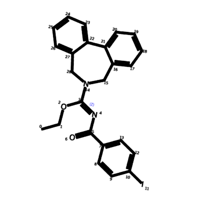 CCO/C(=N\C(=O)c1ccc(I)cc1)N1Cc2ccccc2-c2ccccc2C1